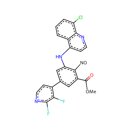 COC(=O)c1cc(-c2ccnc(F)c2F)cc(Nc2ccnc3c(Cl)cccc23)c1N=O